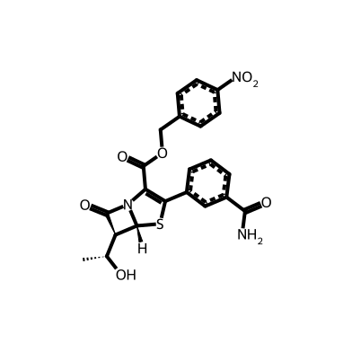 C[C@@H](O)[C@H]1C(=O)N2C(C(=O)OCc3ccc([N+](=O)[O-])cc3)=C(c3cccc(C(N)=O)c3)S[C@H]12